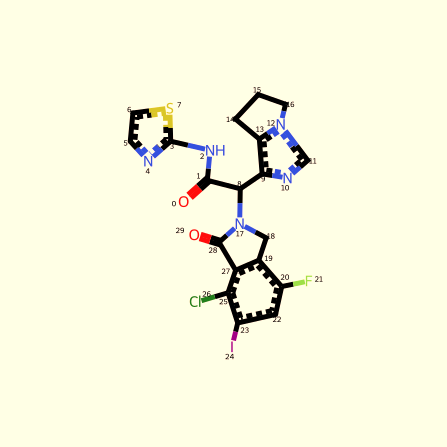 O=C(Nc1nccs1)C(c1ncn2c1CCC2)N1Cc2c(F)cc(I)c(Cl)c2C1=O